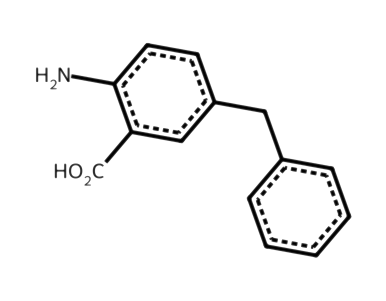 Nc1ccc(Cc2ccccc2)cc1C(=O)O